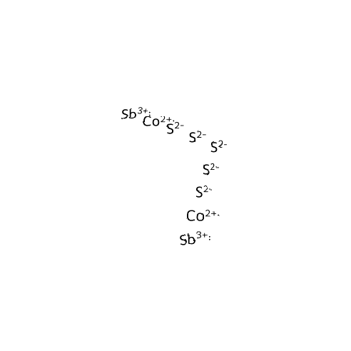 [Co+2].[Co+2].[S-2].[S-2].[S-2].[S-2].[S-2].[Sb+3].[Sb+3]